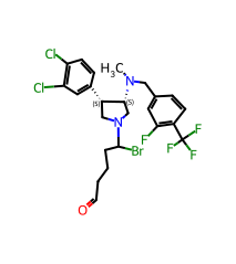 CN(Cc1ccc(C(F)(F)F)c(F)c1)[C@@H]1CN(C(Br)CCCC=O)C[C@@H]1c1ccc(Cl)c(Cl)c1